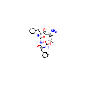 CC(C)[C@@H](CN)C[C@H](O)[C@H](CC1CCCCC1)NC(=O)CNC(=O)[C@H](Cc1ccccc1)NC(=O)OC(C)(C)C